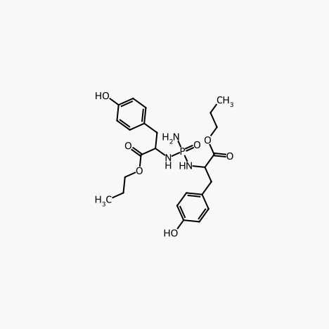 CCCOC(=O)C(Cc1ccc(O)cc1)NP(N)(=O)NC(Cc1ccc(O)cc1)C(=O)OCCC